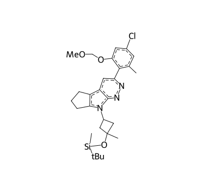 COCOc1cc(Cl)cc(C)c1-c1cc2c3c(n(C4CC(C)(O[Si](C)(C)C(C)(C)C)C4)c2nn1)CCC3